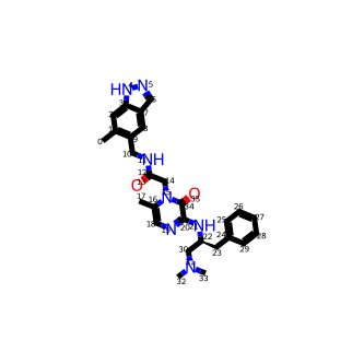 Cc1cc2[nH]ncc2cc1CNC(=O)Cn1c(C)cnc(N[C@@H](Cc2ccccc2)CN(C)C)c1=O